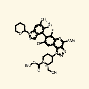 CSc1nc2c(F)c(-c3c(C)c(C)cc4c3cnn4C3CCCCO3)c(Cl)cc2c2c1nnn2C1CCN(C(=O)OC(C)(C)C)[C@H](CC#N)C1